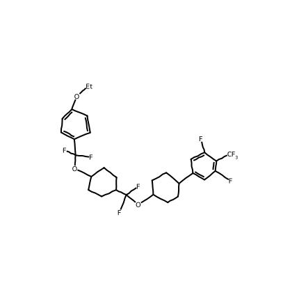 CCOc1ccc(C(F)(F)OC2CCC(C(F)(F)OC3CCC(c4cc(F)c(C(F)(F)F)c(F)c4)CC3)CC2)cc1